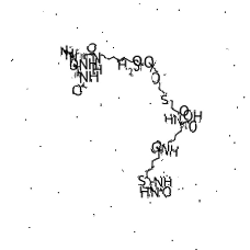 CC(=O)N[C@H](C)C(=O)N[C@H](CN=[N+]=[N-])C(=O)NCCCCCCO[SiH2]OC(C)(C)COCCCSCCC(=O)N[C@H](CCCCNC(=O)CCCCC1SCC2NC(=O)NC21)C(=O)O